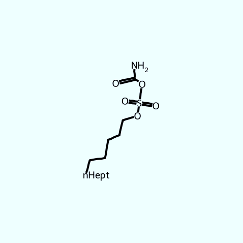 CCCCCCCCCCCCOS(=O)(=O)OC(N)=O